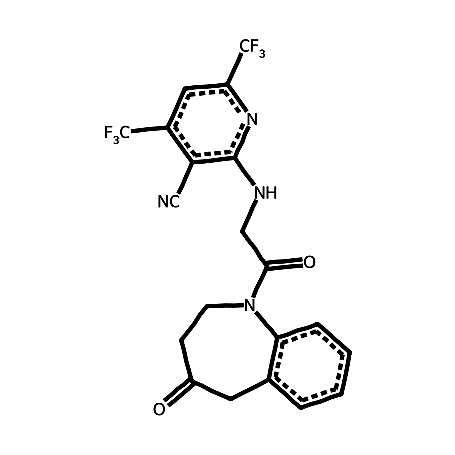 N#Cc1c(C(F)(F)F)cc(C(F)(F)F)nc1NCC(=O)N1CCC(=O)Cc2ccccc21